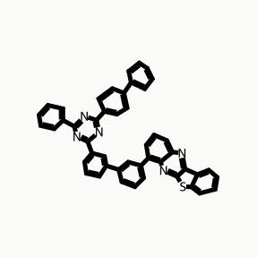 c1ccc(-c2ccc(-c3nc(-c4ccccc4)nc(-c4cccc(-c5cccc(-c6cccc7nc8c(nc67)sc6ccccc68)c5)c4)n3)cc2)cc1